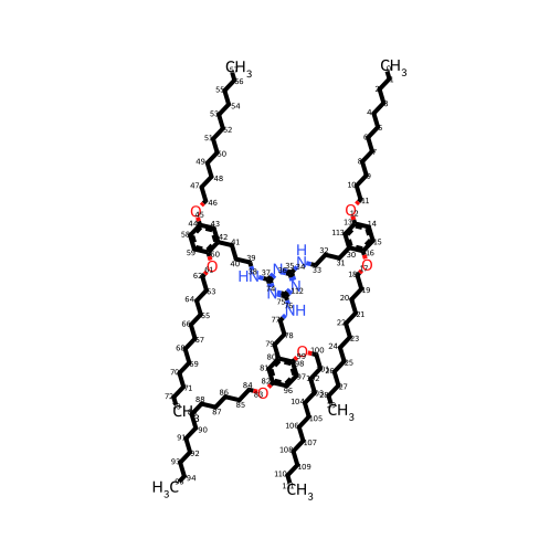 CCCCCCCCCCCCOc1ccc(OCCCCCCCCCCCC)c(CCCNc2nc(NCCCc3cc(OCCCCCCCCCCCC)ccc3OCCCCCCCCCCCC)nc(NCCCc3cc(OCCCCCCCCCCCC)ccc3OCCCCCCCCCCCC)n2)c1